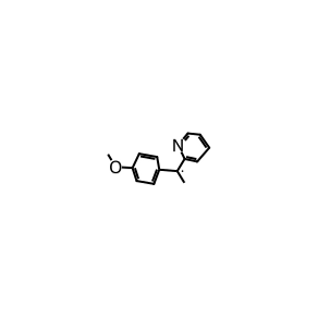 COc1ccc([C](C)c2ccccn2)cc1